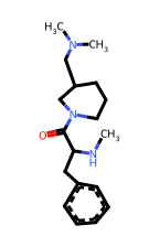 CNC(Cc1ccccc1)C(=O)N1CCCC(CN(C)C)C1